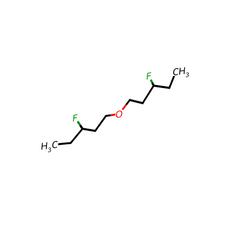 CCC(F)CCOCCC(F)CC